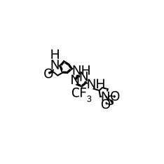 CS(=O)(=O)N1CCC(CNc2nc(Nc3ccc4c(c3)CC(=O)N4)ncc2C(F)(F)F)C1